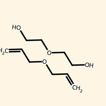 C=CCOCC=C.OCCOCCO